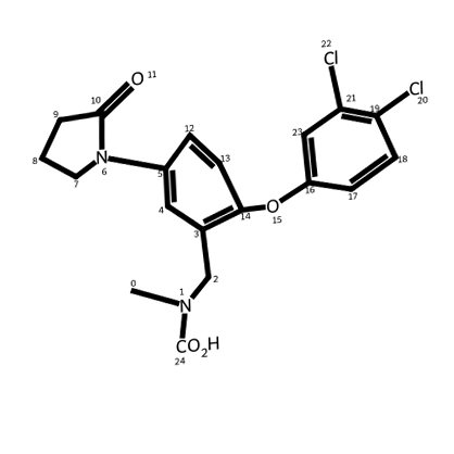 CN(Cc1cc(N2CCCC2=O)ccc1Oc1ccc(Cl)c(Cl)c1)C(=O)O